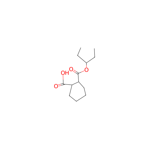 CCC(CC)OC(=O)C1CCCCC1C(=O)O